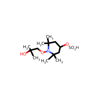 CC(C)(O)CON1C(C)(C)CC(OS(=O)(=O)O)CC1(C)C